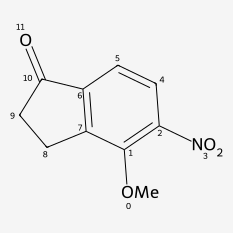 COc1c([N+](=O)[O-])ccc2c1CCC2=O